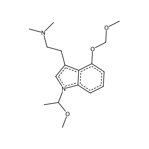 COCOc1cccc2c1c(CCN(C)C)cn2C(C)OC